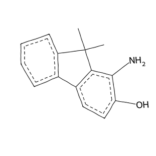 CC1(C)c2ccccc2-c2ccc(O)c(N)c21